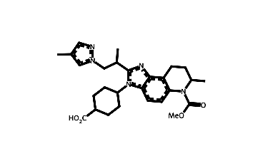 COC(=O)N1c2ccc3c(nc(C(C)Cn4cc(C)cn4)n3C3CCC(C(=O)O)CC3)c2CCC1C